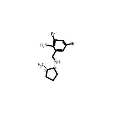 Nc1c(Br)cc(Br)cc1CN[C@@H]1CCC[C@@H]1C(F)(F)F